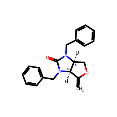 C=C1OC[C@H]2[C@@H]1N(Cc1ccccc1)C(=O)N2Cc1ccccc1